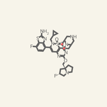 Nc1nc2c(C3=Cc4nc(OC[C@@]56CCCN5C[C@H](F)C6)nc(N5C6CNCC5COC6)c4S(=O)(=O)N3CC3CC3)ccc(F)c2s1